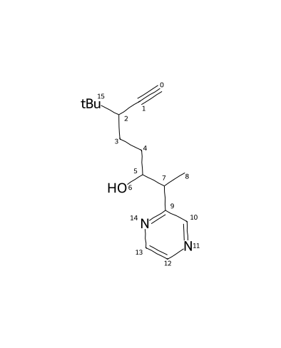 C#CC(CCC(O)C(C)c1cnccn1)C(C)(C)C